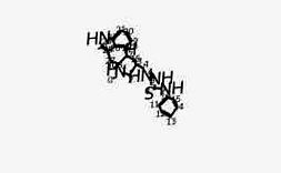 CN1CC(CNNC(=S)Nc2ccccc2)C[C@@H]2c3cccc4[nH]cc(c34)C[C@H]21